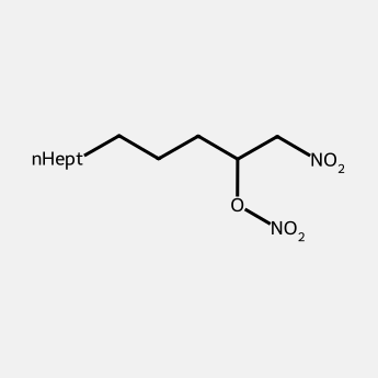 CCCCCCCCCCC(C[N+](=O)[O-])O[N+](=O)[O-]